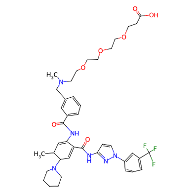 CC1C=C(NC(=O)c2cccc(CN(C)CCOCCOCCOCCC(=O)O)c2)C(C(=O)Nc2ccn(-c3cccc(C(F)(F)F)c3)n2)=CC1N1CCCCC1